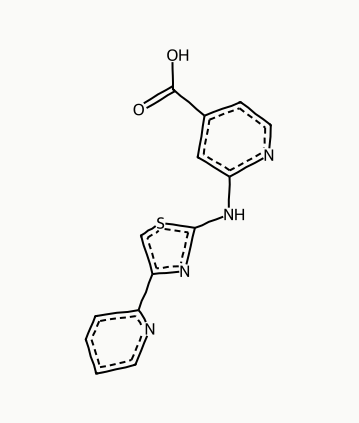 O=C(O)c1ccnc(Nc2nc(-c3ccccn3)cs2)c1